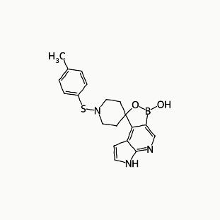 Cc1ccc(SN2CCC3(CC2)OB(O)c2cnc4[nH]ccc4c23)cc1